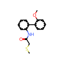 COc1ccccc1-c1ccccc1NC(=O)CSC